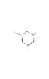 FC1COCOC1